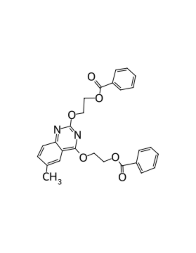 Cc1ccc2nc(OCCOC(=O)c3ccccc3)nc(OCCOC(=O)c3ccccc3)c2c1